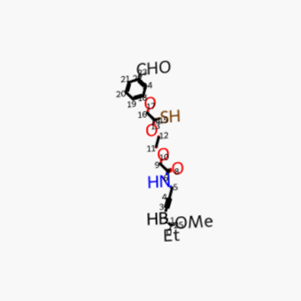 CC[C@H](BC#CCNC(=O)COCCOC(S)COc1cccc(C=O)c1)OC